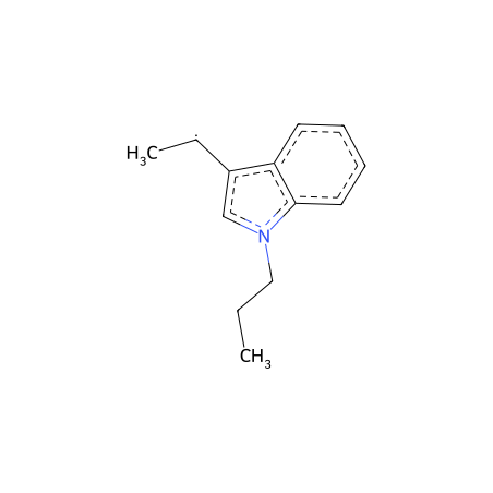 C[CH]c1cn(CCC)c2ccccc12